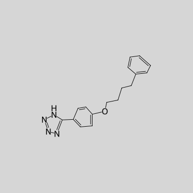 c1ccc(CCCCOc2ccc(-c3nnn[nH]3)cc2)cc1